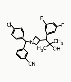 CC(C)(O)C(c1cc(F)cc(F)c1)C1CN(C(c2ccc(Cl)cc2)c2cccc(C#N)c2)C1